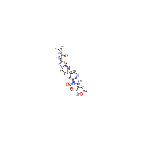 O=C(Nc1nc2ccc(-c3cnc4c(c3)N(C(=O)O)C(C3CCOCC3)C4)nc2s1)C1CC1